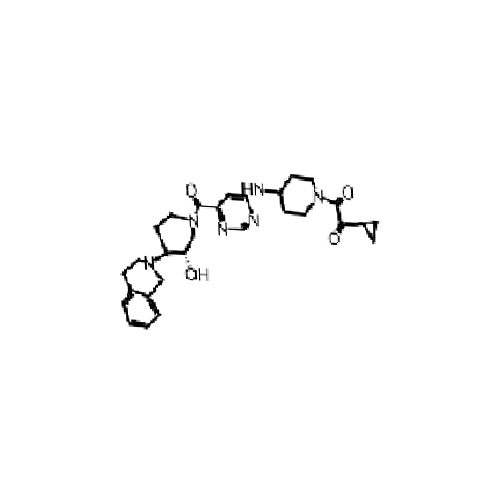 O=C(C(=O)N1CCC(Nc2cc(C(=O)N3CCC(N4CCc5ccccc5C4)[C@@H](O)C3)ncn2)CC1)C1CC1